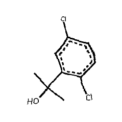 CC(C)(O)c1cc(Cl)ccc1Cl